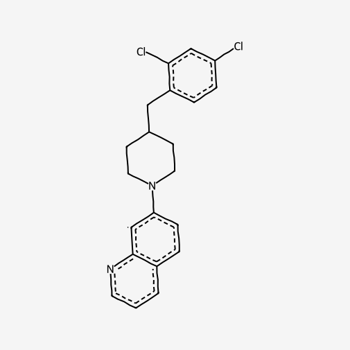 Clc1ccc(CC2CCN(c3[c]c4ncccc4cc3)CC2)c(Cl)c1